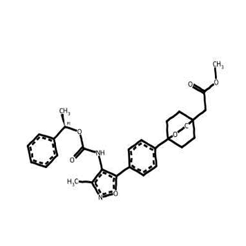 COC(=O)CC12CCC(c3ccc(-c4onc(C)c4NC(=O)O[C@H](C)c4ccccc4)cc3)(CC1)OC2